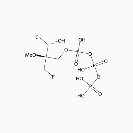 CO[C@](CF)(COP(=O)(O)OP(=O)(O)OP(=O)(O)O)[C@@H](O)Cl